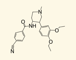 CCOc1ccc(C2CN(C)CCC2NC(=O)c2ccc(C#N)cc2)cc1OCC